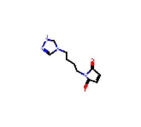 O=C1C=CC(=O)N1CCCCN1C=NNC1